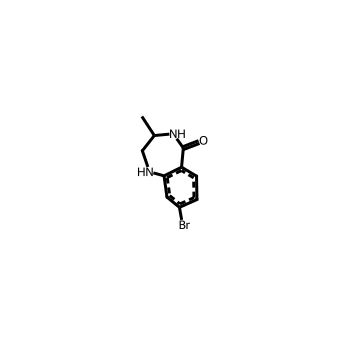 CC1CNc2cc(Br)ccc2C(=O)N1